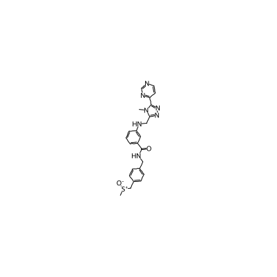 Cn1c(CNc2cccc(C(=O)NCc3ccc(C[S+](C)[O-])cc3)c2)nnc1-c1ccncn1